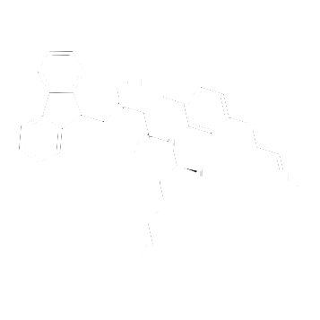 C=CCOC[C@@H](NC(=O)[C@@H](Cc1ccc(OCC=C)cc1)N(CC1c2ccccc2-c2ccccc21)C(=O)O)C(C)C